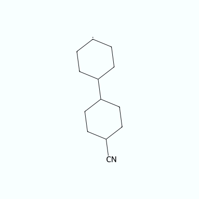 N#CC1CCC(C2CC[CH]CC2)CC1